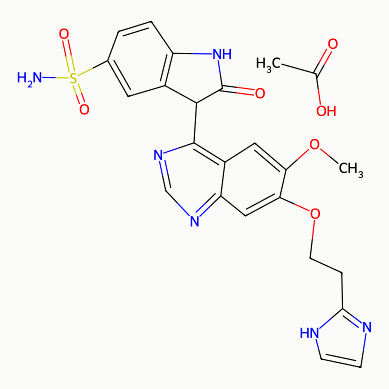 CC(=O)O.COc1cc2c(C3C(=O)Nc4ccc(S(N)(=O)=O)cc43)ncnc2cc1OCCc1ncc[nH]1